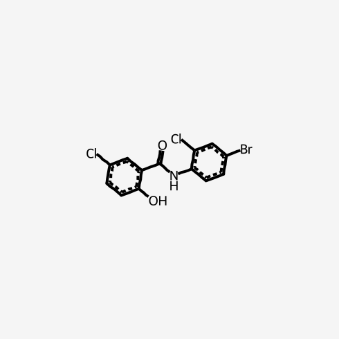 O=C(Nc1ccc(Br)cc1Cl)c1cc(Cl)ccc1O